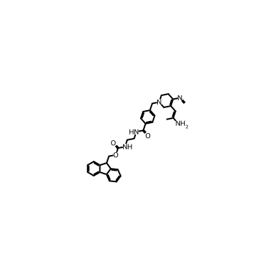 C=NC1=C(/C=C(\C)N)CN(Cc2ccc(C(=O)NCCNC(=O)OCC3c4ccccc4-c4ccccc43)cc2)CC1